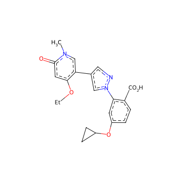 CCOc1cc(=O)n(C)cc1-c1cnn(-c2cc(OC3CC3)ccc2C(=O)O)c1